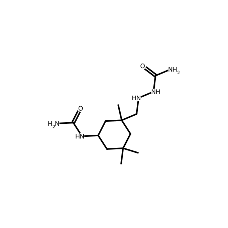 CC1(C)CC(NC(N)=O)CC(C)(CNNC(N)=O)C1